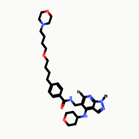 CCc1nc2c(cnn2CC)c(NC2CCOCC2)c1CNC(=O)c1ccc(CCCCOCCCCN2CCOCC2)cc1